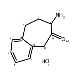 Cl.NC1CCc2ccccc2CC1=O